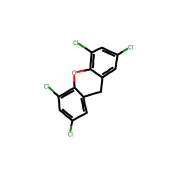 Clc1cc(Cl)c2c(c1)Cc1cc(Cl)cc(Cl)c1O2